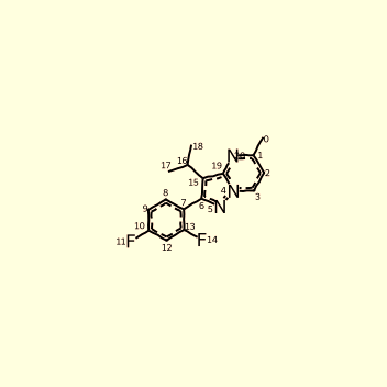 Cc1ccn2nc(-c3ccc(F)cc3F)c(C(C)C)c2n1